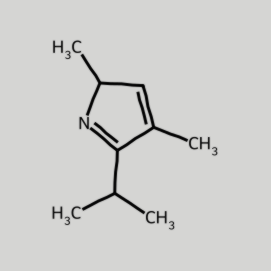 CC1=CC(C)N=C1C(C)C